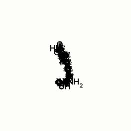 Nc1nnc(-c2ccccc2O)cc1-n1cc(N2CCC(N3CC[C@H](c4cccc5c4OCCN5[C@@H]4CCC(=O)NC4=O)C(F)(F)C3)CC2)cn1